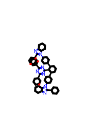 c1ccc(-c2nc(-c3ccccc3)nc(-c3c(-c4ccc(-n5c(-c6ccccc6)nc6ccccc65)cc4)cccc3-c3ccc(-n4c(-c5ccccc5)nc5ccccc54)cc3)n2)cc1